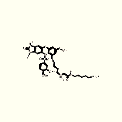 CCCOc1cc(OCCCCN(C)CC(=O)NCCCCCC(=O)O)cc(Oc2cc3c(cc2NS(=O)(=O)c2ccc(OC)c(OC)c2)n(C)c(=O)n3C)c1